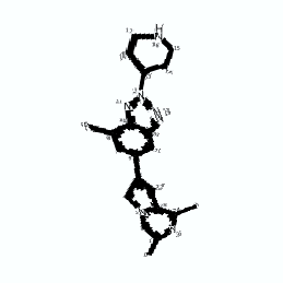 Cc1cn2cc(-c3cc(F)c4nn(C5CCNCC5)nc4c3)cc2c(C)n1